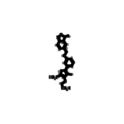 Cc1c(-c2cccc(OCC3=CC4C(=NON4C)C=C3)c2)sc(C(=O)O)c1OCC(=O)O